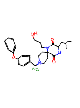 CC(C)CC1NC(=O)C2(CCN(Cc3ccc(Oc4ccccc4)cc3)CC2)N(CCCO)C1=O.Cl